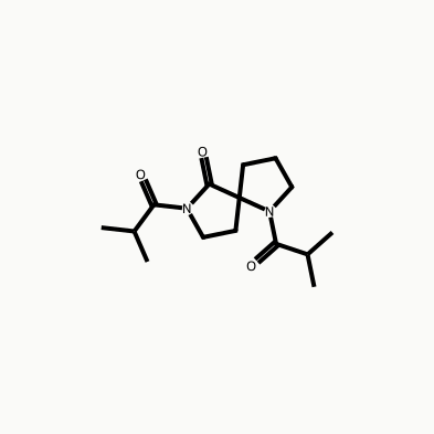 CC(C)C(=O)N1CCC2(CCCN2C(=O)C(C)C)C1=O